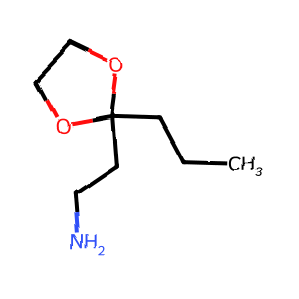 CCCC1(CCN)OCCO1